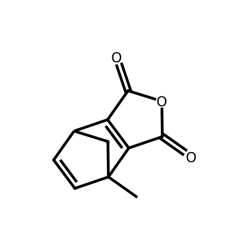 CC12C=CC(C1)C1=C2C(=O)OC1=O